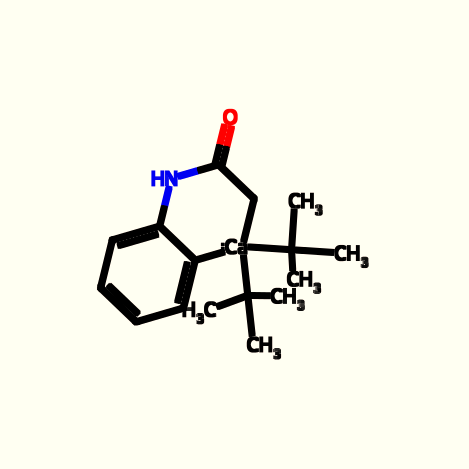 C[C](C)(C)[Ca]1([C](C)(C)C)[CH2]C(=O)Nc2cccc[c]21